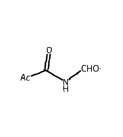 CC(=O)C(=O)N[C]=O